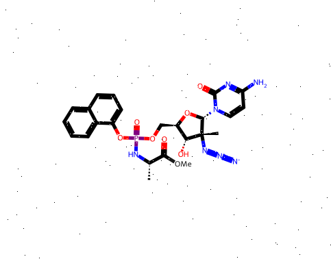 COC(=O)[C@H](C)NP(=O)(OC[C@H]1O[C@H](n2ccc(N)nc2=O)[C@](C)(N=[N+]=[N-])[C@@H]1O)Oc1cccc2ccccc12